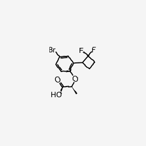 C[C@H](Oc1ccc(Br)cc1C1CCC1(F)F)C(=O)O